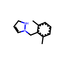 Cc1cccc(C)c1CN1C=CCN1